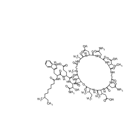 CCC(C)CCCCCCC(=O)NC(Cc1c[nH]c2ccccc12)C(=O)NC(CCC(=O)O)C(=O)NC(C(=O)NC1C(=O)N(C)CC(=O)NC(C)C(=O)NC(CC(=O)O)C(=O)NC(CC(N)=O)C(=O)NC(C(OC)C(=O)O)C(=O)NCC(=O)NC(CC(N)=O)C(=O)NC(C(C)CC(=O)O)C(=O)NC(C(C)CC)C(=O)OC1C)C(O)C(N)=O